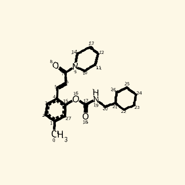 Cc1ccc(/C=C/C(=O)N2CCCCC2)c(OC(=O)NCC2CCCCC2)c1